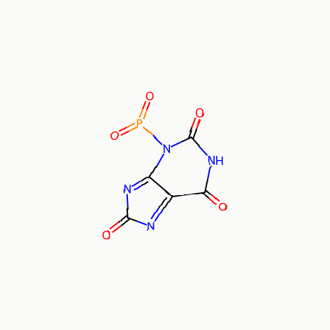 O=C1N=c2c(=O)[nH]c(=O)n(P(=O)=O)c2=N1